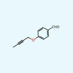 CC#CCOc1ccc([C]=O)cc1